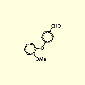 COc1ccccc1Oc1ccc(C=O)cc1